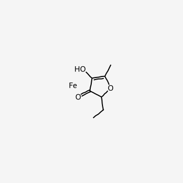 CCC1OC(C)=C(O)C1=O.[Fe]